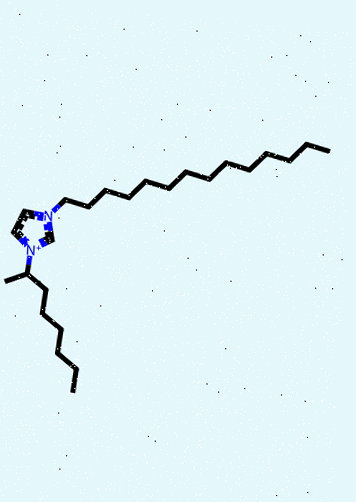 CCCCCCCCCCCCCCn1cc[n+](C(C)CCCCCC)c1